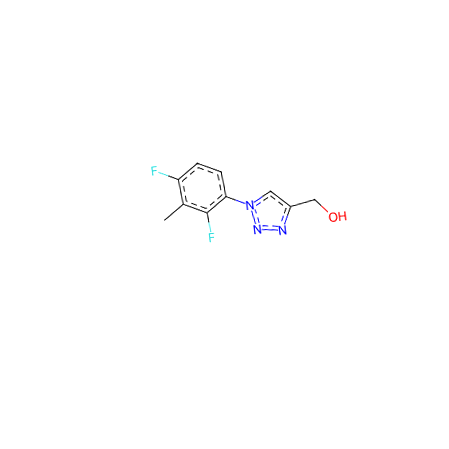 Cc1c(F)ccc(-n2cc(CO)nn2)c1F